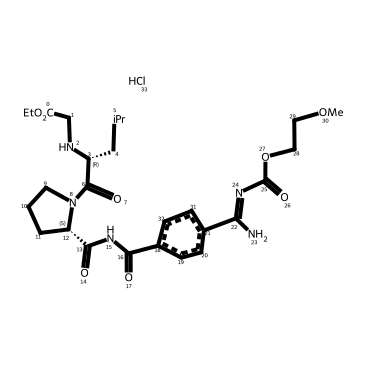 CCOC(=O)CN[C@H](CC(C)C)C(=O)N1CCC[C@H]1C(=O)NC(=O)c1ccc(C(N)=NC(=O)OCCOC)cc1.Cl